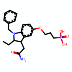 CCC1C(CC(N)=O)c2cc(OCCCP(=O)(O)O)ccc2N1Cc1ccccc1